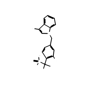 CC(C)(C)c1cn(Cc2ccc(C(F)(F)P(=O)(O)O)c(Br)c2)c2ccccc12